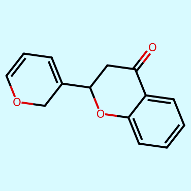 O=C1CC(C2=CC=COC2)Oc2ccccc21